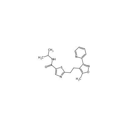 Cc1onc(-c2ccccn2)c1CCc1ncc(C(=O)NC(C)C)s1